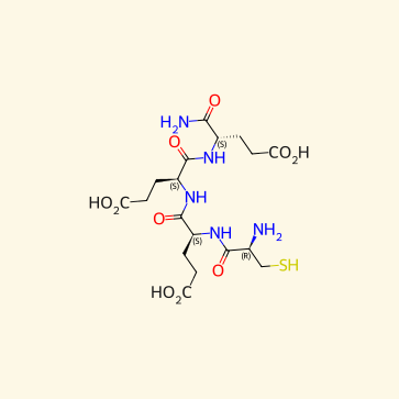 NC(=O)[C@H](CCC(=O)O)NC(=O)[C@H](CCC(=O)O)NC(=O)[C@H](CCC(=O)O)NC(=O)[C@@H](N)CS